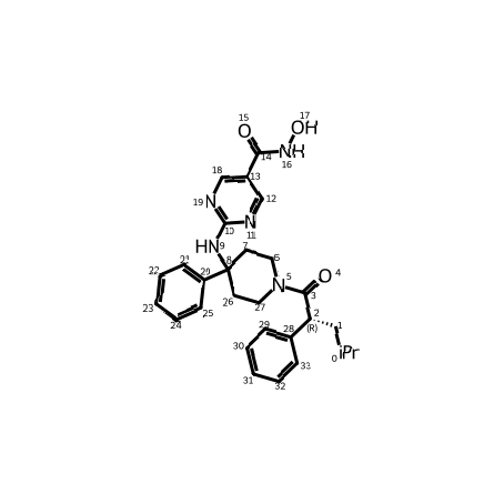 CC(C)C[C@@H](C(=O)N1CCC(Nc2ncc(C(=O)NO)cn2)(c2ccccc2)CC1)c1ccccc1